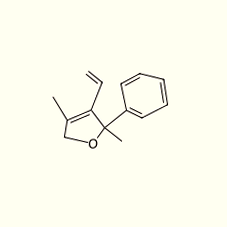 C=CC1=C(C)COC1(C)c1ccccc1